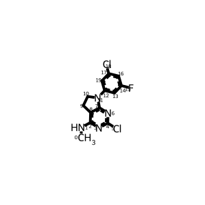 CNc1nc(Cl)nc2c1CCN2c1cc(F)cc(Cl)c1